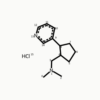 CN(C)CC1CCCC1c1cccnc1.Cl